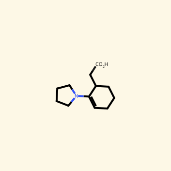 O=C(O)CC1CCCC=C1N1CCCC1